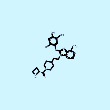 Nc1ncnc2c1nc(Sc1cc(O)c(O)cc1Br)n2CCC1CCN(C(=O)[C@@H]2CCN2)CC1